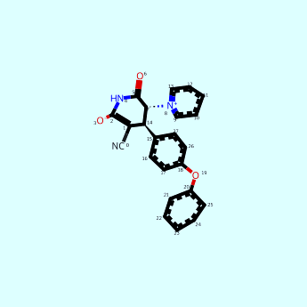 N#CC1=C([O-])NC(=O)[C@H]([n+]2ccccc2)[C@H]1c1ccc(Oc2ccccc2)cc1